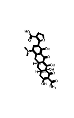 CN(C)c1cc(C2=C(C(=O)O)CCO2)c(O)c2c1C[C@H]1C[C@H]3CC(O)=C(C(N)=O)C(=O)[C@@]3(O)C(O)=C1C2=O